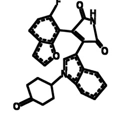 O=C1CCC(n2cc(C3=C(c4c(F)ccc5ccoc45)C(=O)NC3=O)c3ccccc32)CC1